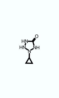 O=C1NNN(C2CC2)N1